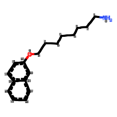 NCCCCCCCCOc1ccc2ccccc2c1